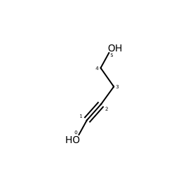 OC#CCCO